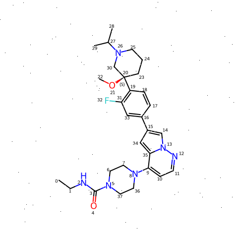 CCNC(=O)N1CCN(c2ccnn3cc(-c4ccc([C@@]5(OC)CCCN(C(C)C)C5)c(F)c4)cc23)CC1